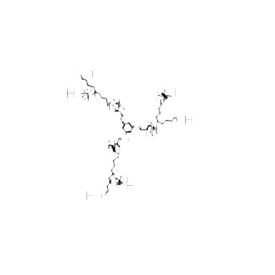 CCCCCC(CCCCn1cc(COc2cc(OCc3cn(CCCCC(CCCCC)OS(=O)(=O)O)nn3)cc(OCc3cn(C(CCCCC)CCCCOS(=O)(=O)O)nn3)c2)nn1)OS(=O)(=O)O